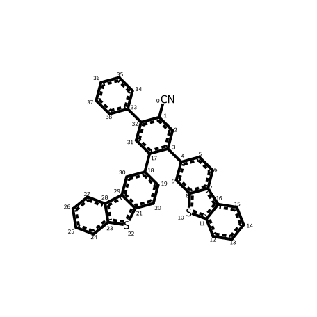 N#Cc1cc(-c2ccc3c(c2)sc2ccccc23)c(-c2ccc3sc4ccccc4c3c2)cc1-c1ccccc1